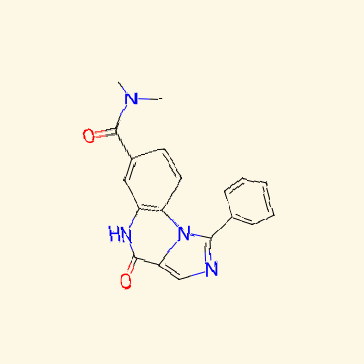 CN(C)C(=O)c1ccc2c(c1)[nH]c(=O)c1cnc(-c3ccccc3)n12